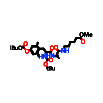 COC(=O)CCCCCNC(=O)[C@@H](C)NC(=O)C(Cc1c(C)cc(OC(=O)OCC(C)C)cc1C)NC(=O)OC(C)(C)C